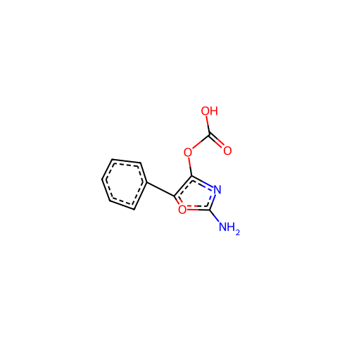 Nc1nc(OC(=O)O)c(-c2ccccc2)o1